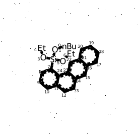 CCCCO[Si](OCC)(OCC)c1cccc2ccc3cc4ccccc4cc3c12